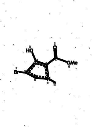 COC(=O)c1c(O)c(Br)cn1C